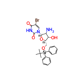 CC(C)(C)[Si](OC[C@@H]1O[C@H](n2cc(Br)c(=O)[nH]c2=O)C(N)C1O)(c1ccccc1)c1ccccc1